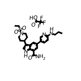 CCCNc1ccc(-c2cc(C(N)=O)c3[nH]cc(C4CCN(S(=O)(=O)CC)CC4)c3c2)cn1.O=C(O)C(F)(F)F